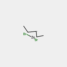 CC[CH]CC.[Br][Zn][Br]